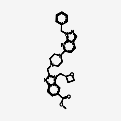 COC(=O)c1ccc2nc(CN3CCN(c4ccc5cnn(Cc6ccccc6)c5n4)CC3)n(C[C@@H]3CCO3)c2c1